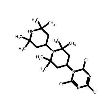 CC1(C)CC(N2C(C)(C)CC(N3C(Cl)=NC(Cl)=NC3Cl)CC2(C)C)CC(C)(C)N1